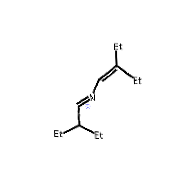 CCC(=C/N=C/C(CC)CC)CC